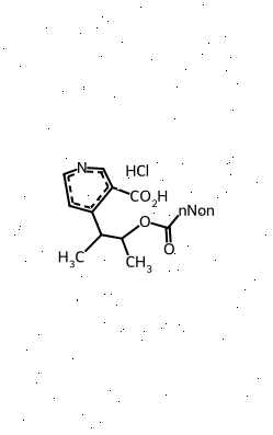 CCCCCCCCCC(=O)OC(C)C(C)c1ccncc1C(=O)O.Cl